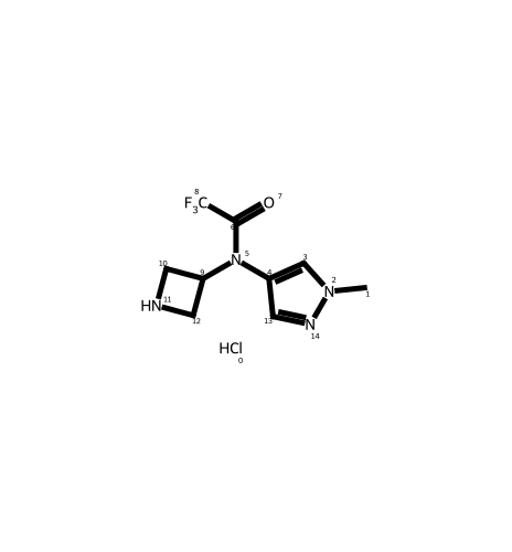 Cl.Cn1cc(N(C(=O)C(F)(F)F)C2CNC2)cn1